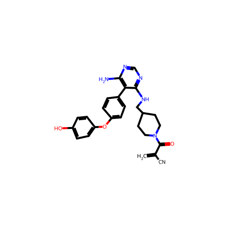 C=C(C#N)C(=O)N1CCC(CNc2ncnc(N)c2-c2ccc(Oc3ccc(O)cc3)cc2)CC1